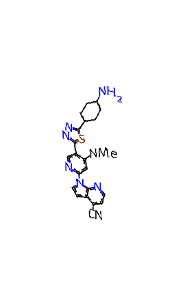 CNc1cc(-n2ccc3c(C#N)ccnc32)ncc1-c1nnc(C2CCC(N)CC2)s1